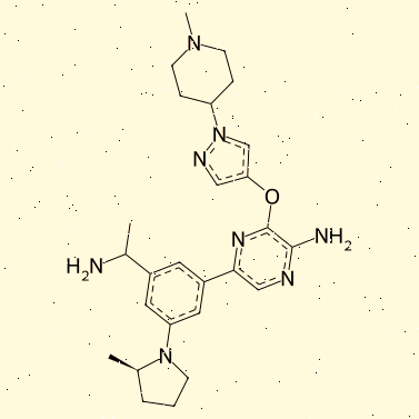 CC(N)c1cc(-c2cnc(N)c(Oc3cnn(C4CCN(C)CC4)c3)n2)cc(N2CCC[C@H]2C)c1